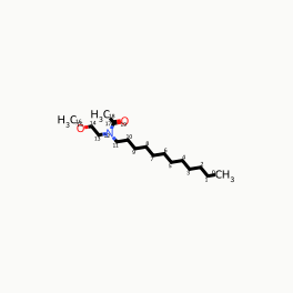 CCCCCCCCCCCCN(CCOC)C(C)=O